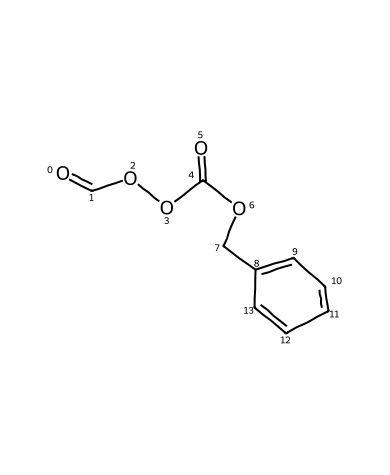 O=COOC(=O)OCc1ccccc1